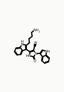 N#Cc1c(-c2c(CCCCN)[nH]c3ccccc23)[nH]c(=O)n1-c1c[nH]c2ccccc12